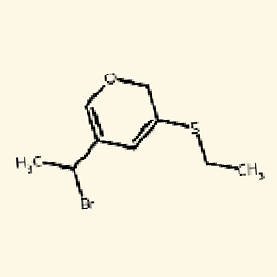 CCSC1=CC(C(C)Br)=COC1